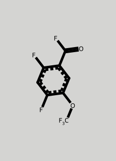 O=C(F)c1cc(OC(F)(F)F)c(F)cc1F